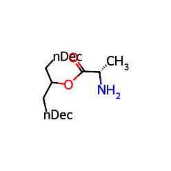 CCCCCCCCCCCC(CCCCCCCCCCC)OC(=O)[C@H](C)N